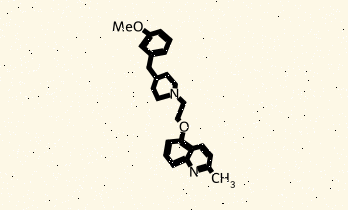 COc1cccc(CC2CCN(CCOc3cccc4nc(C)ccc34)CC2)c1